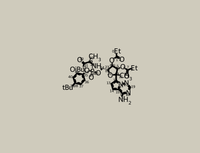 CCC(=O)O[C@H]1[C@@H](OC(=O)CC)[C@](C)(c2ccc3c(N)ncnn23)O[C@@H]1COP(=O)(N[C@@H](C)C(=O)OCC(C)C)Oc1ccc(C(C)(C)C)cc1